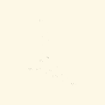 CCCCCCCOCCCOCCCC(=O)Nc1cc(C(=O)NCCCSC)ccc1OC